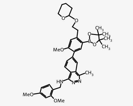 COc1ccc(CNc2nnc(C)c3cc(-c4cc(B5OC(C)(C)C(C)(C)O5)c(CCOC5CCCCO5)cc4OC)ccc23)c(OC)c1